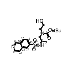 C[C@H](CN(CCO)C(=O)OC(C)(C)C)NS(=O)(=O)c1ccc2cnccc2c1